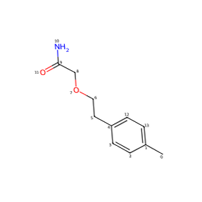 Cc1ccc(CCOCC(N)=O)cc1